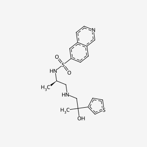 C[C@H](CNCC(C)(O)c1ccsc1)NS(=O)(=O)c1ccc2cnccc2c1